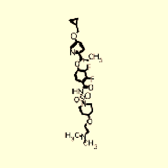 CC[C@@H](Oc1ccc(C(=O)NS(=O)(=O)N2CCC(OCCN(C)C)CC2)c(F)c1F)c1ccc(OCC2CC2)cn1